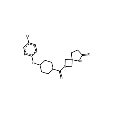 O=C1CCC2(CN(C(=O)N3CCC(Oc4ccc(Cl)cn4)CC3)C2)N1